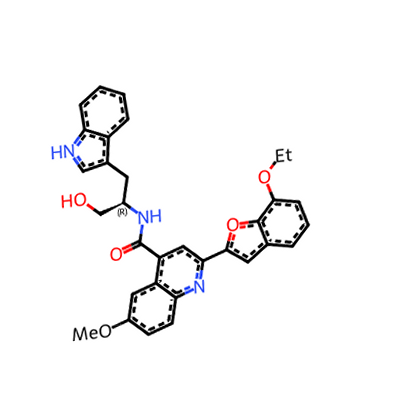 CCOc1cccc2cc(-c3cc(C(=O)N[C@@H](CO)Cc4c[nH]c5ccccc45)c4cc(OC)ccc4n3)oc12